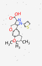 COc1cc2c(cc1CC(C)C)-c1c(c(C(=O)O)nn1-c1ccsc1)CO2